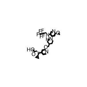 COc1cc(N2CCC(COc3cc([C@@H](CC(=O)O)C4CC4)ccn3)CC2)c(NCC(F)(F)C(F)(F)F)cn1